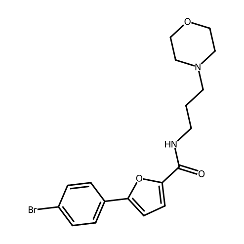 O=C(NCCCN1CCOCC1)c1ccc(-c2ccc(Br)cc2)o1